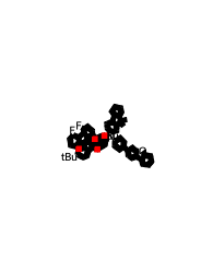 CC(C)(C)c1ccc2c(c1)C1(c3cc(C(C)(C)C)ccc3-2)c2cccc(F)c2-c2c(F)ccc(-c3cccc(N(c4ccc(-c5ccc6c(c5)oc5ccccc56)cc4)c4ccc5c(c4)C(C)(C)c4ccccc4-5)c3)c21